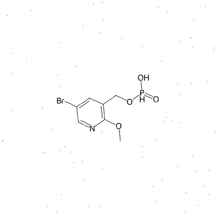 COc1ncc(Br)cc1CO[PH](=O)O